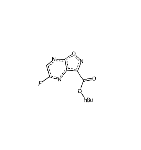 CCCCOC(=O)c1noc2ncc(F)nc12